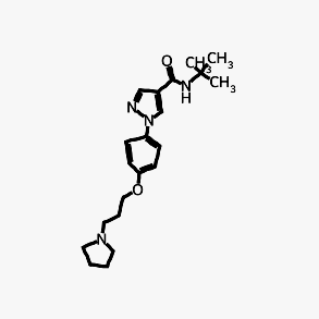 CC(C)(C)NC(=O)c1cnn(-c2ccc(OCCCN3CCCC3)cc2)c1